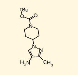 Cc1nn(C2CCN(C(=O)OC(C)(C)C)CC2)cc1N